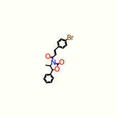 CC1C(c2ccccc2)OC(=O)N1C(=O)C=Cc1ccc(Br)cc1